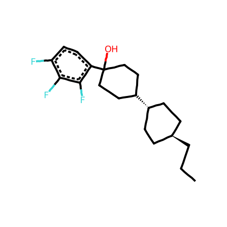 CCC[C@H]1CC[C@H](C2CCC(O)(c3ccc(F)c(F)c3F)CC2)CC1